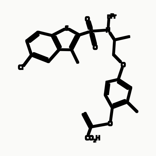 C=C(Oc1ccc(OCC(C)N(CCC)S(=O)(=O)c2sc3ccc(Cl)cc3c2C)cc1C)C(=O)O